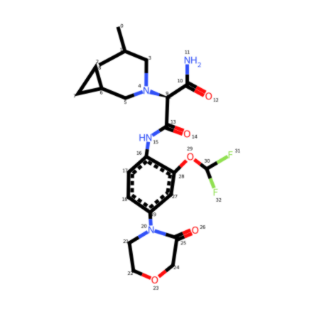 CC(C)CN(CC1CC1)[C@@H](C(N)=O)C(=O)Nc1ccc(N2CCOCC2=O)cc1OC(F)F